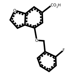 O=C(O)c1cc(OCc2ccccc2F)c2ccoc2c1